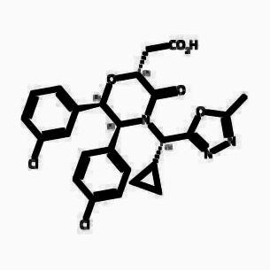 Cc1nnc([C@H](C2CC2)N2C(=O)[C@@H](CC(=O)O)O[C@H](c3cccc(Cl)c3)[C@@H]2c2ccc(Cl)cc2)o1